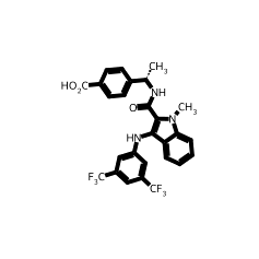 C[C@H](NC(=O)c1c(Nc2cc(C(F)(F)F)cc(C(F)(F)F)c2)c2ccccc2n1C)c1ccc(C(=O)O)cc1